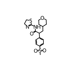 CS(=O)(=O)c1ccc(C(CC2CCOCC2)C(=O)NC2=NCCS2)cc1